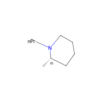 [CH2]CCN1CCCC[C@@H]1C